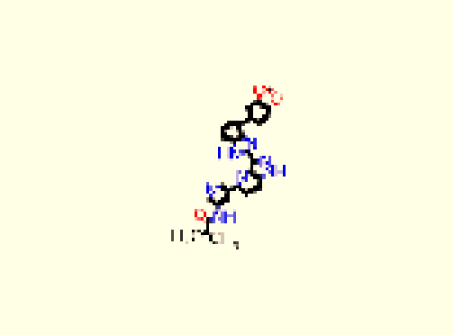 CC(C)C(=O)Nc1cncc(-c2ccc3[nH]nc(-c4nc5c(-c6ccc7c(c6)OCO7)cccc5[nH]4)c3n2)c1